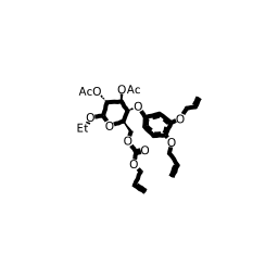 C=CCOC(=O)OC[C@H]1OC(OCC)[C@H](OC(C)=O)[C@@H](OC(C)=O)[C@@H]1Oc1ccc(OCC=C)c(OCC=C)c1